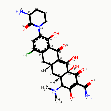 CN(C)[C@@H]1C(O)=C(C(N)=O)C(=O)[C@@]2(O)C(O)=C3C(=O)c4c(O)c(N5CCC[C@H](N)C5=O)cc(F)c4C[C@H]3C[C@@H]12